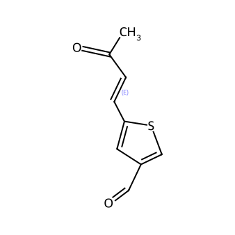 CC(=O)/C=C/c1cc(C=O)cs1